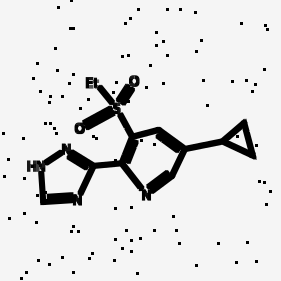 CCS(=O)(=O)c1cc(C2CC2)cnc1-c1nc[nH]n1